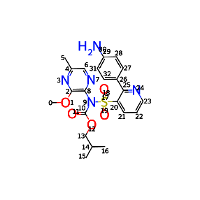 COc1nc(C)cnc1N(C(=O)OCC(C)C)S(=O)(=O)c1cccnc1-c1ccc(N)cc1